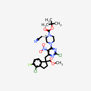 COC(=O)C1(Cc2nc(Cl)nc(N3CCN(C(=O)OC(C)(C)C)[C@@H](CC#N)C3)c2[N+](=O)[O-])CCc2c1ccc(F)c2Cl